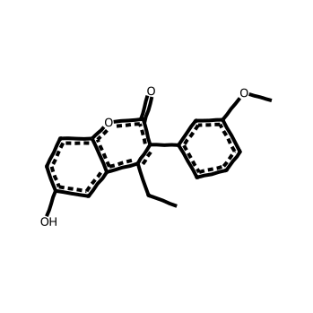 CCc1c(-c2cccc(OC)c2)c(=O)oc2ccc(O)cc12